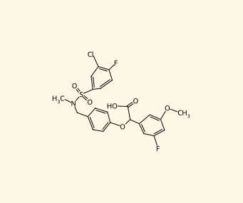 COc1cc(F)cc(C(Oc2ccc(CN(C)S(=O)(=O)c3ccc(F)c(Cl)c3)cc2)C(=O)O)c1